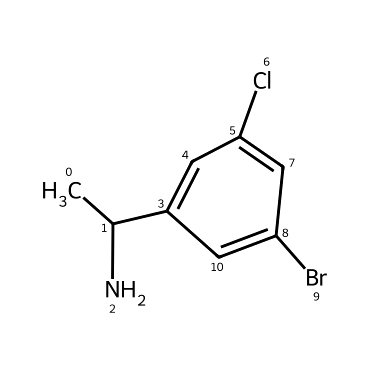 CC(N)c1cc(Cl)cc(Br)c1